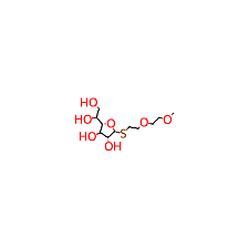 COCCOCCS[C@@H]1O[C@@H]([C@@H](O)CO)[C@H](O)[C@H]1O